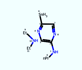 CCCNc1cn[c]([SnH3])cn1.CCNCC